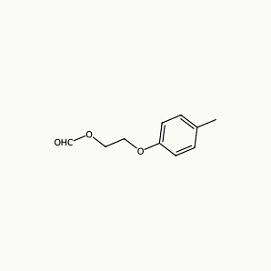 Cc1ccc(OCCOC=O)cc1